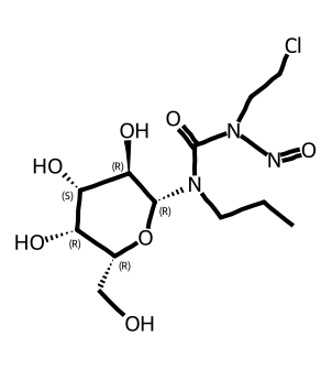 CCCN(C(=O)N(CCCl)N=O)[C@@H]1O[C@H](CO)[C@H](O)[C@H](O)[C@H]1O